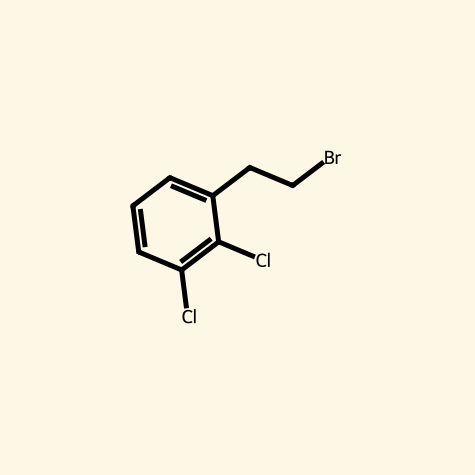 Clc1cccc(CCBr)c1Cl